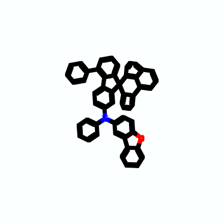 c1ccc(-c2cccc3c2-c2ccc(N(c4ccccc4)c4ccc5oc6ccccc6c5c4)cc2C32c3ccccc3-c3cccc4cccc2c34)cc1